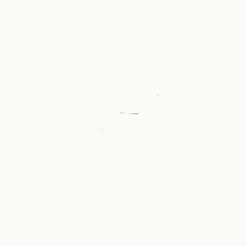 CCCCCOP(=O)([S-])[S-].[Zn+2]